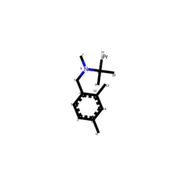 Cc1ccc(CN(C)C(C)(C)C(C)C)c(C)c1